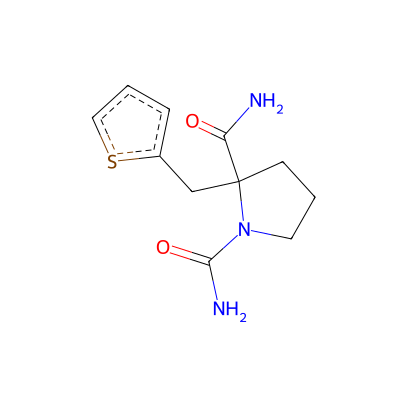 NC(=O)N1CCCC1(Cc1cccs1)C(N)=O